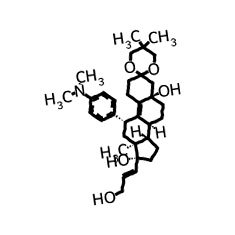 CN(C)c1ccc([C@H]2C[C@@]3(C)[C@@H](CC[C@@]3(O)/C=C/CO)[C@@H]3CC[C@@]4(O)CC5(CCC4=C32)OCC(C)(C)CO5)cc1